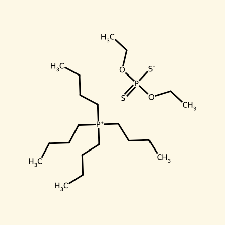 CCCC[P+](CCCC)(CCCC)CCCC.CCOP(=S)([S-])OCC